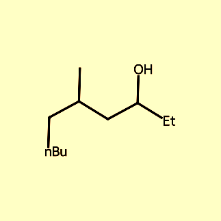 CCCCCC(C)CC(O)CC